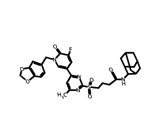 Cc1cc(-c2cc(F)c(=O)n(Cc3ccc4c(c3)OCO4)c2)nc(S(=O)(=O)CCCC(=O)NC2C3CC4CC(C3)CC2C4)n1